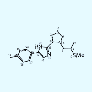 CSC(C)CN1CSCC1c1ncc(-c2ccc(C)cc2)[nH]1